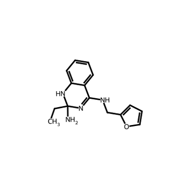 CCC1(N)N=C(NCc2ccco2)c2ccccc2N1